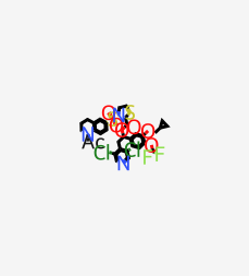 CC(=O)N1CCCc2cc(S(=O)(=O)N3CCSC3C(=O)OC(Cc3c(Cl)cncc3Cl)c3ccc(OC(F)F)c(OCC4CC4)c3)ccc21